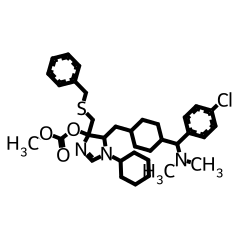 COC(=O)OC1(CSCc2ccccc2)N=CN(C2CCCCC2)C1CC1CCC(C(c2ccc(Cl)cc2)N(C)C)CC1